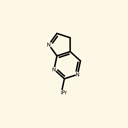 CC(C)c1ncc2c(n1)N=CC2